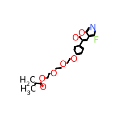 C=C(C)C(=O)OCCOCCOCCOc1ccc(-c2cc3c(F)cncc3oc2=O)cc1